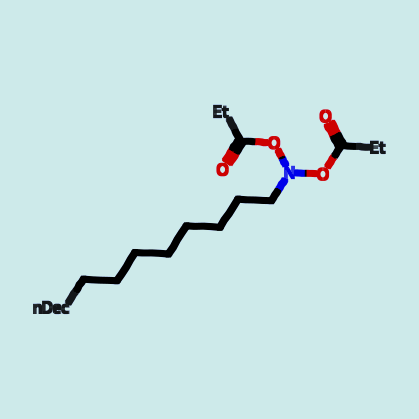 CCCCCCCCCCCCCCCCCCN(OC(=O)CC)OC(=O)CC